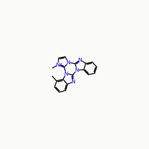 Cc1cccc2nc3n4c5ccccc5nc4n4cc[n+](C)c4n3c12